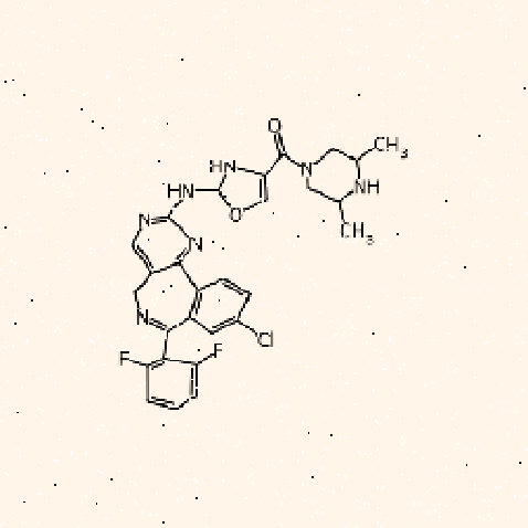 CC1CN(C(=O)C2=COC(Nc3ncc4c(n3)-c3ccc(Cl)cc3C(c3c(F)cccc3F)=NC4)N2)CC(C)N1